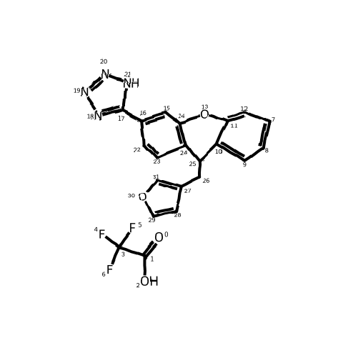 O=C(O)C(F)(F)F.c1ccc2c(c1)Oc1cc(-c3nnn[nH]3)ccc1[C]2Cc1ccoc1